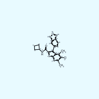 Cc1nc2sc(C(=O)NC3CCC3)c(-c3ccc4nonc4c3)c2c(C)c1Cl